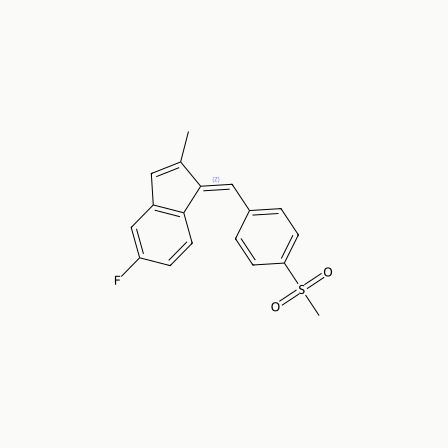 CC1=Cc2cc(F)ccc2/C1=C\c1ccc(S(C)(=O)=O)cc1